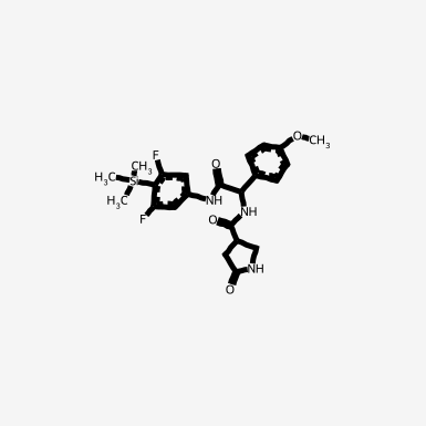 COc1ccc(C(NC(=O)C2CNC(=O)C2)C(=O)Nc2cc(F)c([Si](C)(C)C)c(F)c2)cc1